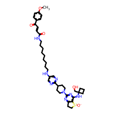 COc1ccc(C(=O)/C=C/C(=O)NCCCCCCCCCNc2cnc(C3CCN(c4nc5c(c(NC6(CO)CCC6)n4)[S@+]([O-])CC5)CC3)nc2)cc1